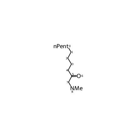 CCCCCCCCCC(=O)CNC